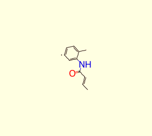 CC=CC(=O)Nc1c[c]ccc1C